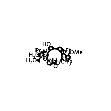 CCn1c(-c2cnccc2COC)c2c3cc(ccc31)-c1cc(O)cc(c1)C[C@H](NC(=O)[C@H](C(C)C)N(C)C(=O)C1C[C@@H]1C)C(=O)N1CCC[C@H](N1)C(=O)OCC(C)(C)C2